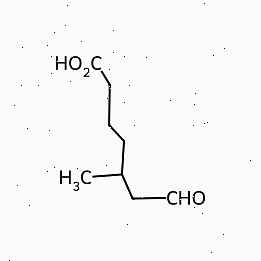 CC(CC=O)CCCC(=O)O